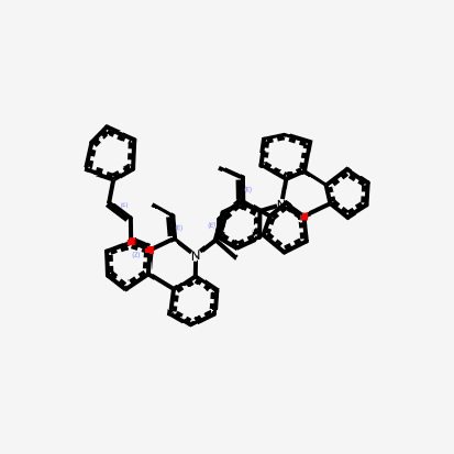 C/C=C(\C=C(/C)N(C(/C=C\C=C\c1ccccc1)=C/C)c1ccccc1-c1ccccc1)c1cccc(-c2ccccc2-c2ccccc2N(C)c2ccccc2)c1